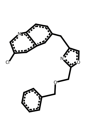 Clc1cnc2ccc(Cc3coc(COCc4ccccc4)n3)cc2c1